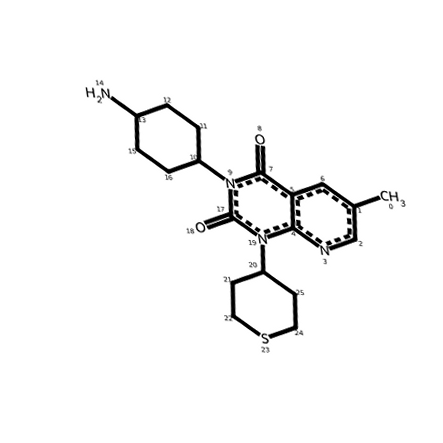 Cc1cnc2c(c1)c(=O)n(C1CCC(N)CC1)c(=O)n2C1CCSCC1